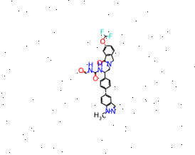 Cn1ncc2cc(-c3ccc([C@H](CN4Cc5ccc(OC(F)F)cc5C4=O)NC(=O)NC=O)cc3)ccc21